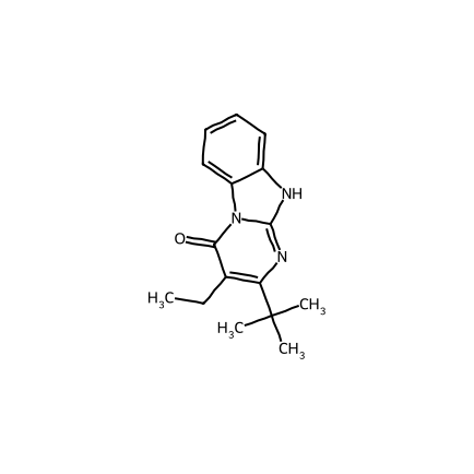 CCc1c(C(C)(C)C)nc2[nH]c3ccccc3n2c1=O